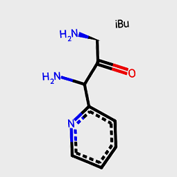 CC[C@H](C)[C@H](N)C(=O)C(N)c1ccccn1